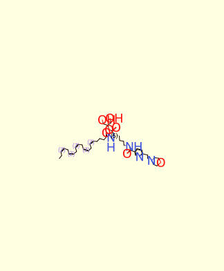 CC/C=C\C/C=C\C/C=C\C/C=C\C/C=C\CCCC(=O)N[C@@H](CCCCNC(=O)c1ccc(CCN2CCOCC2)nc1)C(=O)OC(CO)CO